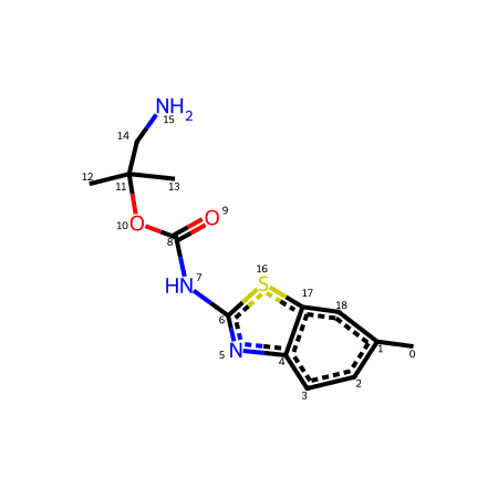 Cc1ccc2nc(NC(=O)OC(C)(C)CN)sc2c1